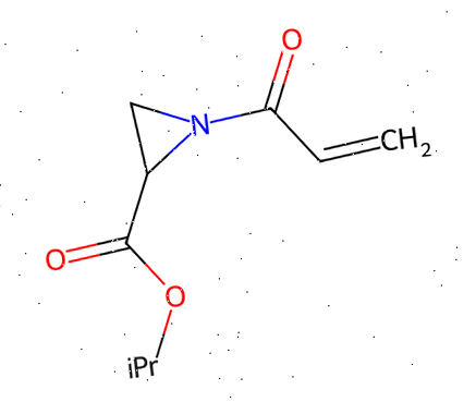 C=CC(=O)N1CC1C(=O)OC(C)C